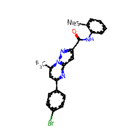 CSc1ccccc1NC(=O)c1cc2nc(-c3ccc(Br)cc3)cc(C(F)(F)F)n2n1